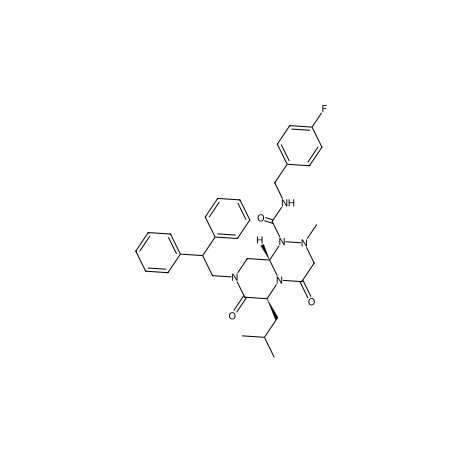 CC(C)C[C@H]1C(=O)N(CC(c2ccccc2)c2ccccc2)C[C@H]2N1C(=O)CN(C)N2C(=O)NCc1ccc(F)cc1